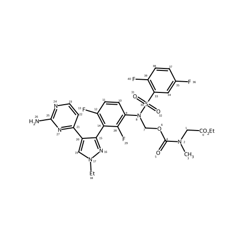 CCOC(=O)CN(C)C(=O)OCN(c1ccc(F)c(-c2nn(CC)cc2-c2ccnc(N)n2)c1F)S(=O)(=O)c1cc(F)ccc1F